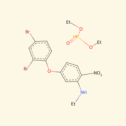 CCNc1cc(Oc2ccc(Br)cc2Br)ccc1[N+](=O)[O-].CCO[PH](=O)OCC